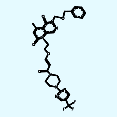 Cc1cc(=O)n(CCOC=CC(=O)N2CCN(c3ncc(C(F)(F)F)cn3)CC2)c2cnn(COCc3ccccc3)c(=O)c12